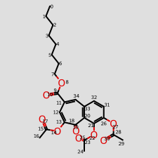 CCCCCCCCOC(=O)c1cc(OC(C)=O)c(=O)c2c(OC(C)=O)c(OC(C)=O)ccc2c1